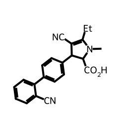 CCC1=C(C#N)C(c2ccc(-c3ccccc3C#N)cc2)C(C(=O)O)N1C